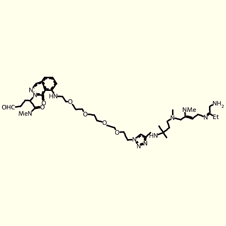 CC/C(CN)=N/C/C=C(/CN(C)CCC(C)(C)NCc1cn(CCOCCOCCOCCOCCNc2cccc3cnn(C(CCC=O)C(=O)NC)c(=O)c23)nn1)NC